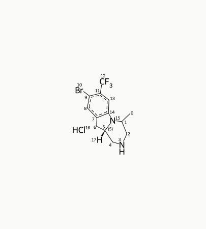 CC1CNC[C@@H]2Cc3cc(Br)c(C(F)(F)F)cc3N12.Cl